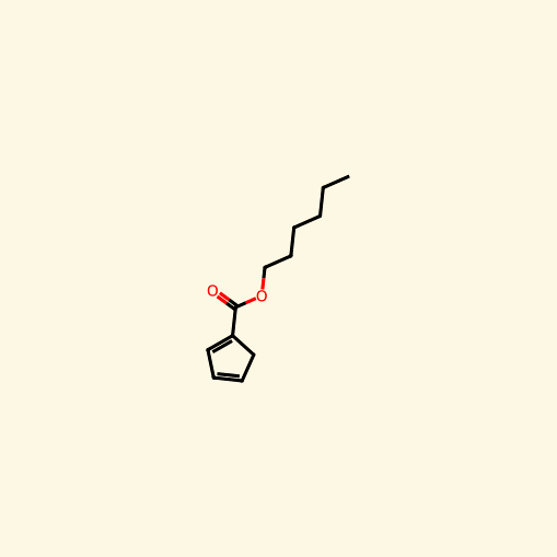 CCCCCCOC(=O)C1=CC=CC1